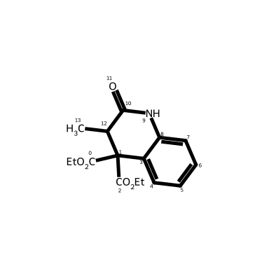 CCOC(=O)C1(C(=O)OCC)c2ccccc2NC(=O)C1C